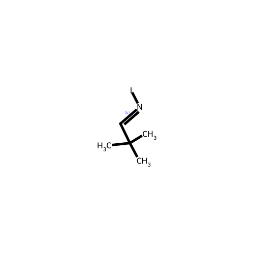 CC(C)(C)/C=N/I